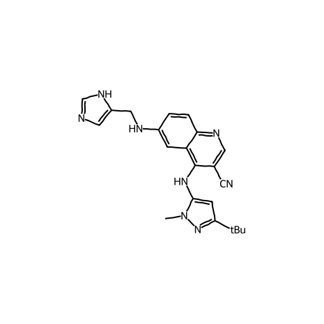 Cn1nc(C(C)(C)C)cc1Nc1c(C#N)cnc2ccc(NCc3cnc[nH]3)cc12